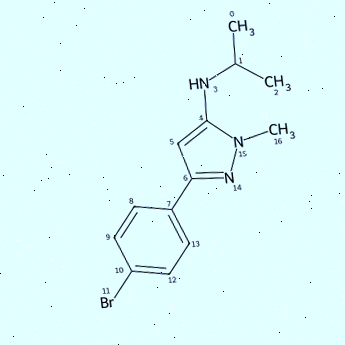 CC(C)Nc1cc(-c2ccc(Br)cc2)nn1C